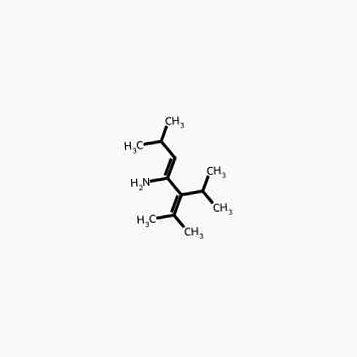 CC(C)=C(C(N)=CC(C)C)C(C)C